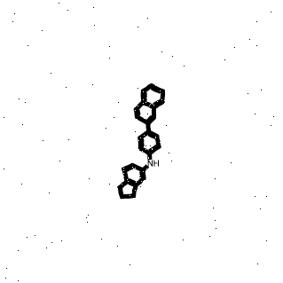 c1ccc2cc(-c3ccc(Nc4ccc5c(c4)CCC5)cc3)ccc2c1